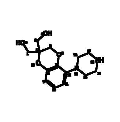 OCC1(CO)COc2c(cccc2N2CCNCC2)O1